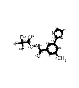 Cc1cc(C(=O)NOC(=O)C(F)(F)F)cc(-c2nccs2)c1